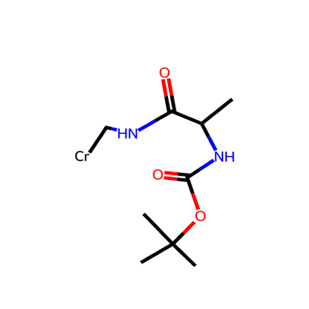 CC(NC(=O)OC(C)(C)C)C(=O)N[CH2][Cr]